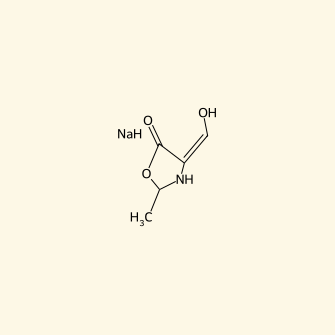 CC1N/C(=C/O)C(=O)O1.[NaH]